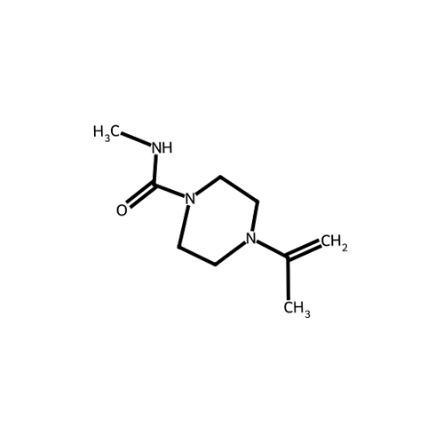 C=C(C)N1CCN(C(=O)NC)CC1